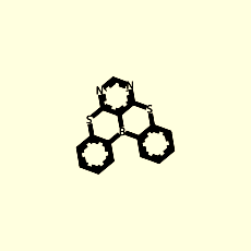 c1ccc2c(c1)Sc1ncnc3c1B2c1ccccc1S3